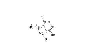 OC[C@H]1C[C@@H](O)c2c(Br)ccc(F)c21